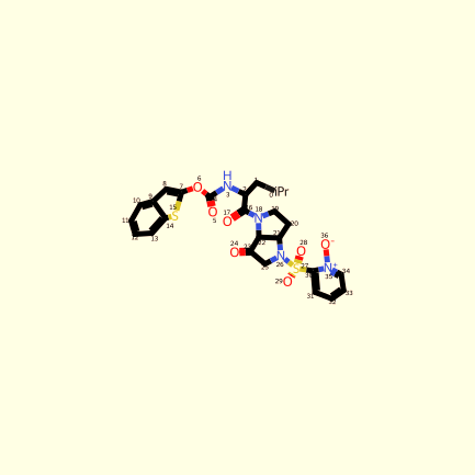 CC(C)CC(NC(=O)Oc1cc2ccccc2s1)C(=O)N1CCC2C1C(=O)CN2S(=O)(=O)c1cccc[n+]1[O-]